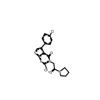 O=C(Cn1c(C(F)(F)F)nc2scc(-c3ccc(Cl)cc3)c2c1=O)N1CCCC1